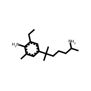 CCc1cc(C(C)(C)CCCC(C)N)cc(C)c1N